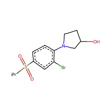 CC(C)S(=O)(=O)c1ccc(N2CCC(O)C2)c(Br)c1